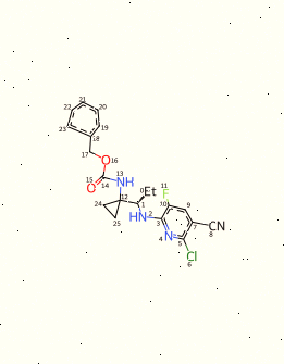 CC[C@@H](Nc1nc(Cl)c(C#N)cc1F)C1(NC(=O)OCc2ccccc2)CC1